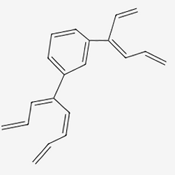 C=C/C=C\C(=C/C=C)c1cccc(/C(C=C)=C/C=C)c1